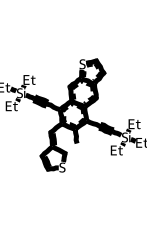 CC[Si](C#Cc1c(C)c(/C=C2/C=CSC2)c(C#C[Si](CC)(CC)CC)c2cc3sccc3cc12)(CC)CC